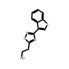 OCCc1nc(-c2csc3ccccc23)no1